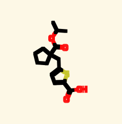 CC(C)OC(=O)C1(Cc2ccc(C(=O)O)s2)CCCC1